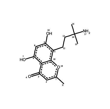 Cc1cc(=O)c2c(O)cc(O)c(CCC(C)(C)N)c2o1